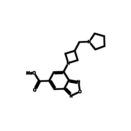 COC(=O)c1cc(N2CC(CN3CCCC3)C2)c2nonc2c1